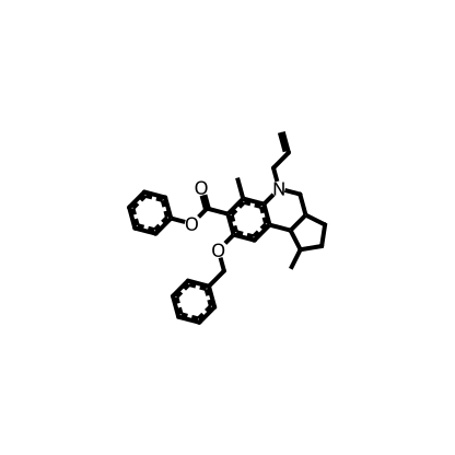 C=CCN1CC2CCC(C)C2c2cc(OCc3ccccc3)c(C(=O)Oc3ccccc3)c(C)c21